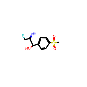 CS(=O)(=O)c1ccc(C(O)C(=N)CF)cc1